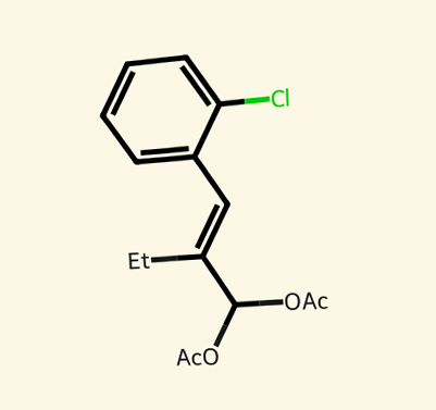 CC/C(=C\c1ccccc1Cl)C(OC(C)=O)OC(C)=O